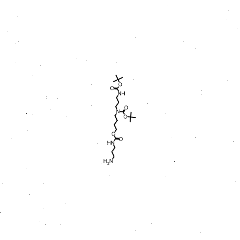 CC(C)(C)OC(=O)NCCCN(CCCCOC(=O)NCCCN)C(=O)OC(C)(C)C